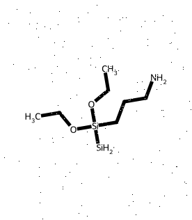 CCO[Si]([SiH2])(CCCN)OCC